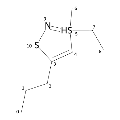 CCCC1=C[SH](C)(CC)=NS1